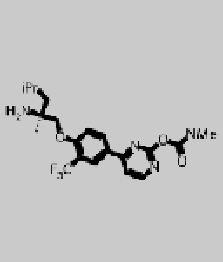 CNC(=O)Oc1nccc(-c2ccc(OC[C@@](C)(N)CC(C)C)c(C(F)(F)F)c2)n1